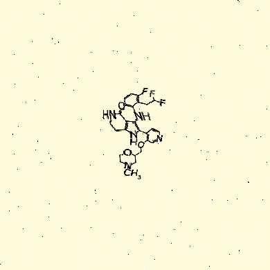 CN1CCOC(COc2cnccc2-c2[nH]c3c(c2Nc2cccc(F)c2CC(F)F)C(=O)NCC3)C1